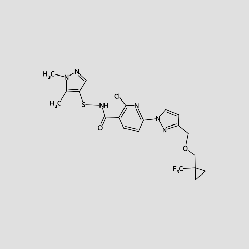 Cc1c(SNC(=O)c2ccc(-n3ccc(COCC4(C(F)(F)F)CC4)n3)nc2Cl)cnn1C